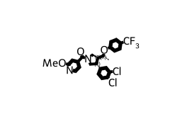 COc1cc(C(=O)N2C[C@@H]([C@@H](C)Oc3ccc(C(F)(F)F)cc3)[C@H](c3ccc(Cl)c(Cl)c3)C2)ccn1